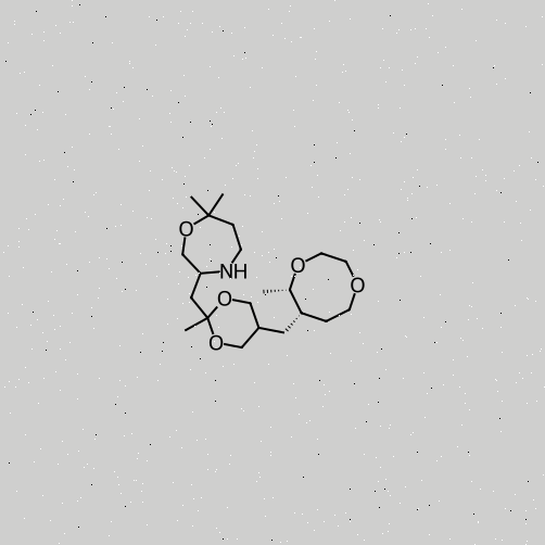 C[C@@H]1OCCOCC[C@@H]1CC1COC(C)(CC2COC(C)(C)CCN2)OC1